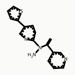 C=C(c1cccnc1)N(N)c1ccc(-c2cccs2)cn1